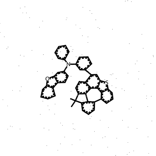 CC1(C)c2cccc3c2-c2c1ccc1c(-c4cccc(N(c5ccccc5)c5ccc6c(c5)oc5ccccc56)c4)cc4sc5cccc-3c5c4c21